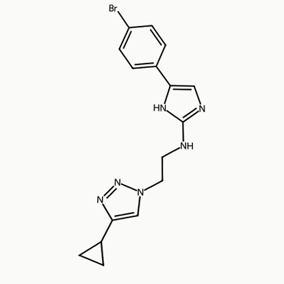 Brc1ccc(-c2cnc(NCCn3cc(C4CC4)nn3)[nH]2)cc1